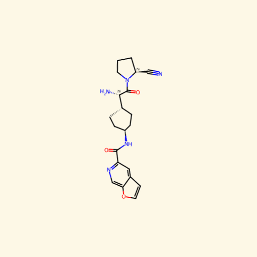 N#C[C@@H]1CCCN1C(=O)[C@@H](N)[C@H]1CC[C@H](NC(=O)c2cc3ccoc3cn2)CC1